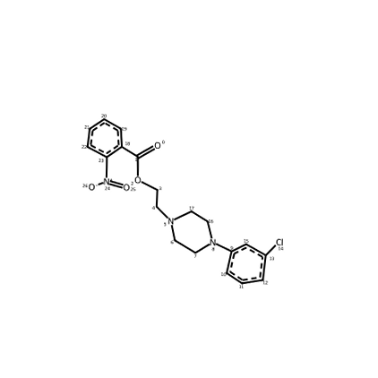 O=C(OCCN1CCN(c2cccc(Cl)c2)CC1)c1ccccc1[N+](=O)[O-]